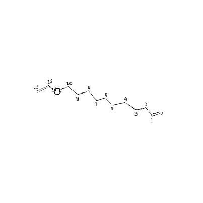 C=CCCCCCCCCCOC=C